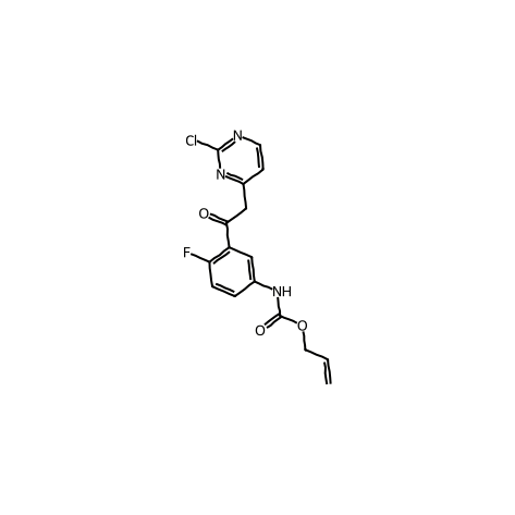 C=CCOC(=O)Nc1ccc(F)c(C(=O)Cc2ccnc(Cl)n2)c1